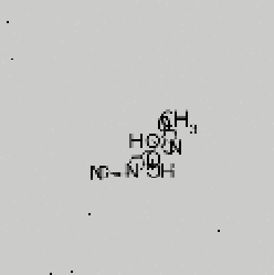 COc1ccc2nccc(C(O)CC[C@@H]3CCN(CC#Cc4ccncc4)C[C@@H]3C(=O)O)c2c1